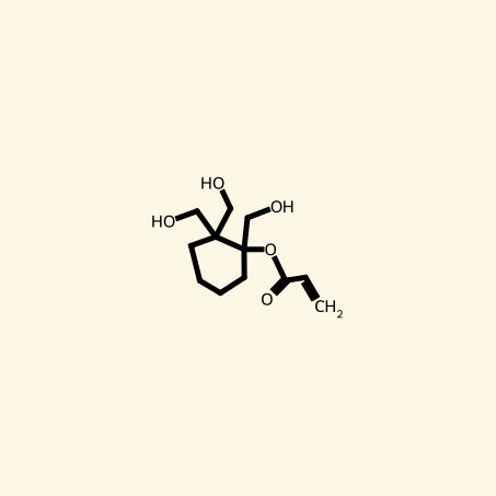 C=CC(=O)OC1(CO)CCCCC1(CO)CO